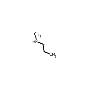 CC[CH]PC